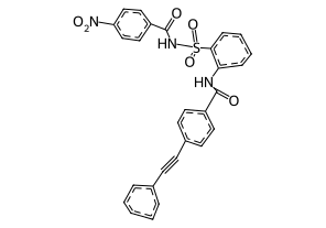 O=C(Nc1ccccc1S(=O)(=O)NC(=O)c1ccc([N+](=O)[O-])cc1)c1ccc(C#Cc2ccccc2)cc1